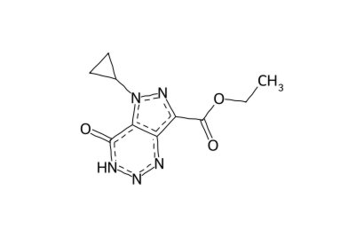 CCOC(=O)c1nn(C2CC2)c2c(=O)[nH]nnc12